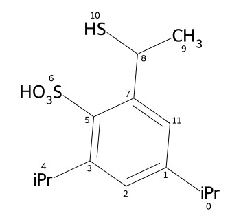 CC(C)c1cc(C(C)C)c(S(=O)(=O)O)c(C(C)S)c1